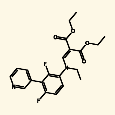 CCOC(=O)C(=CN(CC)c1ccc(F)c(-c2cccnc2)c1F)C(=O)OCC